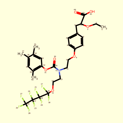 CCOC(Cc1ccc(OCCN(CCOC(F)(F)C(F)(F)C(F)(F)C(F)(F)F)C(=O)Oc2cc(C)c(C)cc2C)cc1)C(=O)O